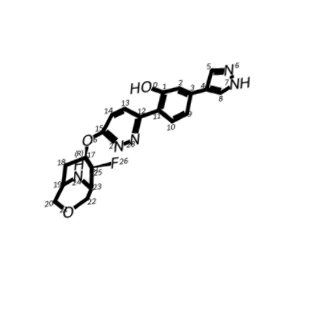 Oc1cc(-c2cn[nH]c2)ccc1-c1ccc(O[C@@H]2CC3COCC(N3)[C@@H]2F)nn1